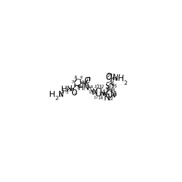 NCCNC(=O)c1cccc(C(=O)NCCN2CCN(c3ncnc4cc(C(N)=O)sc34)CC2)c1